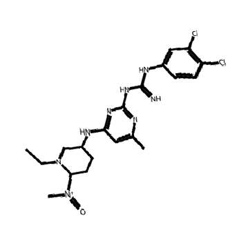 CCN1CC(Nc2cc(C)nc(NC(=N)Nc3ccc(Cl)c(Cl)c3)n2)CCC1[N+](C)=O